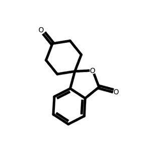 O=C1CCC2(CC1)OC(=O)c1ccccc12